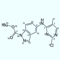 Cc1cnc(Cl)nc1Nc1ccc2c(cnn2C(=O)OC(C)(C)C)c1